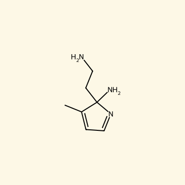 CC1=CC=NC1(N)CCN